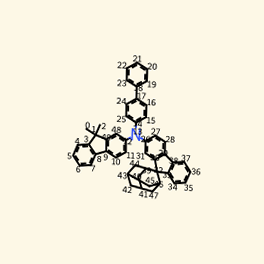 CC1(C)c2ccccc2-c2ccc(N(c3ccc(-c4ccccc4)cc3)c3ccc4c(c3)C3(c5ccccc5-4)C4CC5CC(C4)CC3C5)cc21